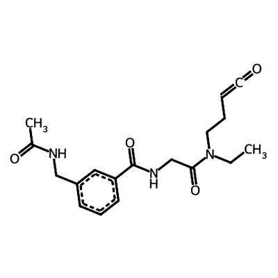 CCN(CCC=C=O)C(=O)CNC(=O)c1cccc(CNC(C)=O)c1